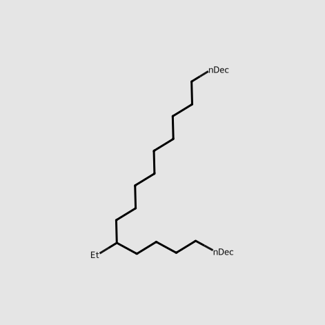 [CH2]CC(CCCCCCCCCCCCCC)CCCCCCCCCCCCCCCCCCC